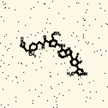 CCc1cc(Nc2nccn3c(-c4ccc(-c5c[nH]nc5C)c(F)c4F)cnc23)ccc1C(=O)NCC1CC[N+](C)(CC2CNC2)CC1